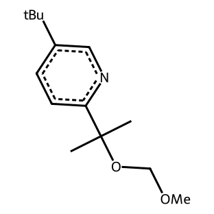 COCOC(C)(C)c1ccc(C(C)(C)C)cn1